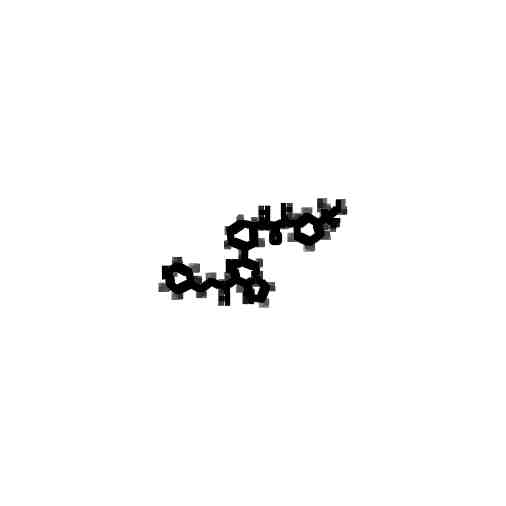 O=C(Nc1cccc(-c2cn3ccnc3c(NCCc3ccncc3)n2)c1)Nc1cccc(C(F)(F)F)c1